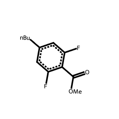 CCCCc1cc(F)c(C(=O)OC)c(F)c1